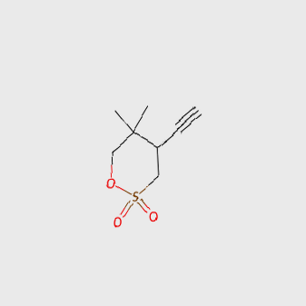 C#CC1CS(=O)(=O)OCC1(C)C